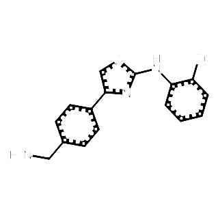 CCc1ccccc1Nc1nc(-c2ccc(CN)cc2)cs1